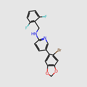 Fc1cccc(F)c1CNc1ccc(-c2cc3c(cc2Br)OCO3)cn1